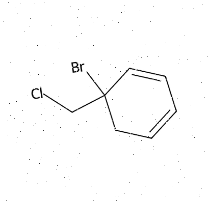 ClCC1(Br)C=CC=CC1